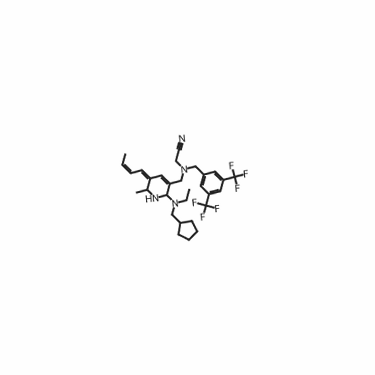 C/C=C\C=C1\C=C(CN(CC#N)Cc2cc(C(F)(F)F)cc(C(F)(F)F)c2)C(N(CC)CC2CCCC2)NC1C